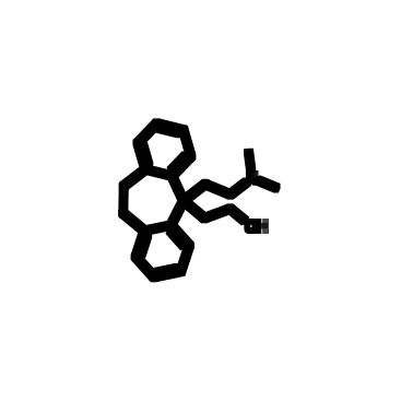 CN(C)CCC1(CCO)c2ccccc2CCc2ccccc21